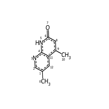 Cc1cnc2[nH]c(=O)cc(C)c2c1